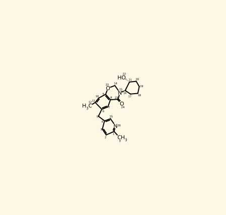 Cc1ccc(Cc2cc3c(cc2C)OCN([C@@H]2CCCC[C@H]2O)C3=O)cn1